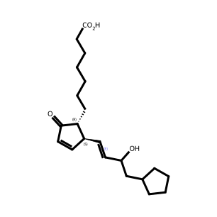 O=C(O)CCCCCC[C@H]1C(=O)C=C[C@@H]1/C=C/C(O)CC1CCCC1